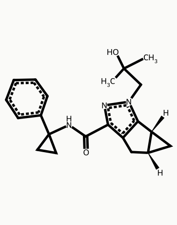 CC(C)(O)Cn1nc(C(=O)NC2(c3ccccc3)CC2)c2c1[C@@H]1C[C@@H]1C2